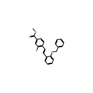 COC(=O)c1ccc(C=Cc2ccccc2OCc2ccccc2)c(F)c1